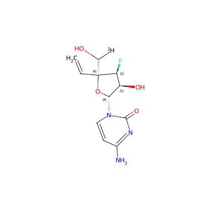 [2H]C(O)[C@@]1(C=C)O[C@@H](n2ccc(N)nc2=O)[C@H](O)[C@@H]1F